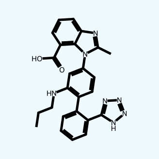 CCCNc1cc(-n2c(C)nc3cccc(C(=O)O)c32)ccc1-c1ccccc1-c1nnn[nH]1